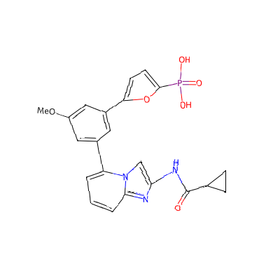 COc1cc(-c2ccc(P(=O)(O)O)o2)cc(-c2cccc3nc(NC(=O)C4CC4)cn23)c1